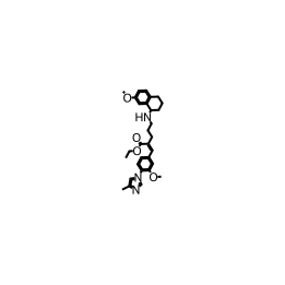 CCOC(=O)C(=Cc1ccc(-n2cnc(C)c2)c(OC)c1)CCCNC1CCCc2ccc(OC)cc21